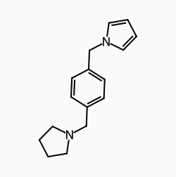 c1ccn(Cc2ccc(CN3CCCC3)cc2)c1